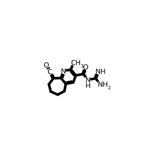 Cc1nc2c(cc1C(=O)NC(=N)N)CCCCC2=C=O